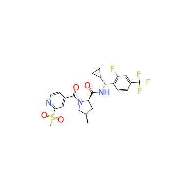 C[C@@H]1C[C@H](C(=O)N[C@@H](c2ccc(C(F)(F)F)cc2F)C2CC2)N(C(=O)c2ccnc(S(C)(=O)=O)c2)C1